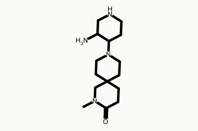 CN1CC2(CCC1=O)CCN(C1CCNCC1N)CC2